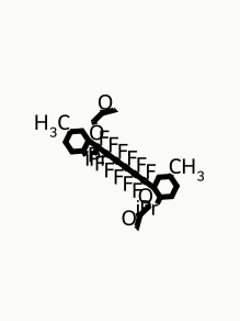 CC1CCC(C(C)C)C(OCC2CO2)(C(F)(F)C(F)(F)C(F)(F)C(F)(F)C(F)(F)C(F)(F)C2(OCC3CO3)CC(C)CCC2C(C)C)C1